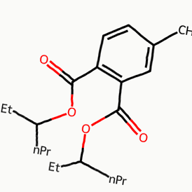 CCCC(CC)OC(=O)c1ccc(C)cc1C(=O)OC(CC)CCC